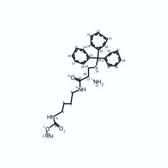 CC(C)(C)OC(=O)NCCCCNC(=O)[C@@H](N)CSC(c1ccccc1)(c1ccccc1)c1ccccc1